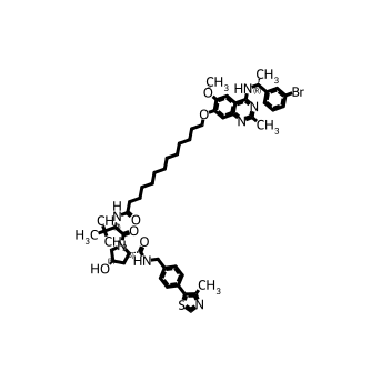 COc1cc2c(N[C@H](C)c3cccc(Br)c3)nc(C)nc2cc1OCCCCCCCCCCCCC(=O)N[C@H](C(=O)N1C[C@H](O)C[C@H]1C(=O)NCc1ccc(-c2scnc2C)cc1)C(C)(C)C